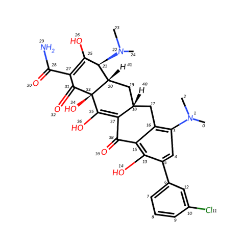 CN(C)c1cc(-c2cccc(Cl)c2)c(O)c2c1C[C@H]1C[C@H]3[C@H](N(C)C)C(O)=C(C(N)=O)C(=O)[C@@]3(O)C(O)=C1C2=O